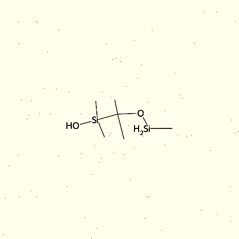 C[SiH2]OC(C)(C)[Si](C)(C)O